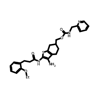 CCOc1ccccc1CCC(=O)Nc1sc2c(c1N)CCC(COC(=O)NCc1ccccn1)C2